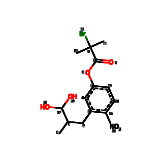 CC(Cc1cc(OC(=O)C(C)(C)Br)ccc1[N+](=O)[O-])[C](O)O